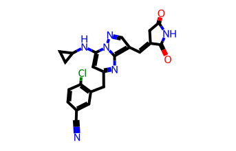 N#Cc1ccc(Cl)c(Cc2cc(NC3CC3)n3ncc(/C=C4\CC(=O)NC4=O)c3n2)c1